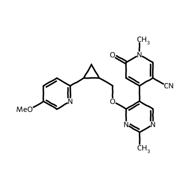 COc1ccc(C2CC2COc2nc(C)ncc2-c2cc(=O)n(C)cc2C#N)nc1